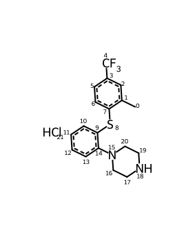 Cc1cc(C(F)(F)F)ccc1Sc1ccccc1N1CCNCC1.Cl